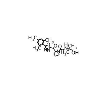 Cc1cc(C)c(-c2nnc(C(=O)C3CCCN3C(=O)CNC(C)(C)CO)o2)c(C)c1